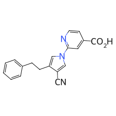 N#Cc1cn(-c2cc(C(=O)O)ccn2)cc1CCc1ccccc1